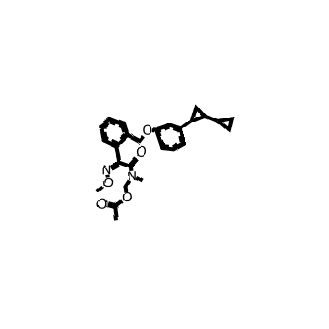 CO/N=C(\C(=O)N(C)COC(C)=O)c1ccccc1COc1cccc(C2CC2C2CC2)c1